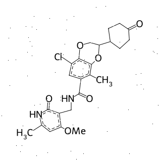 COc1cc(C)[nH]c(=O)c1CNC(=O)c1cc(Cl)c2c(c1C)OC(C1CCC(=O)CC1)CO2